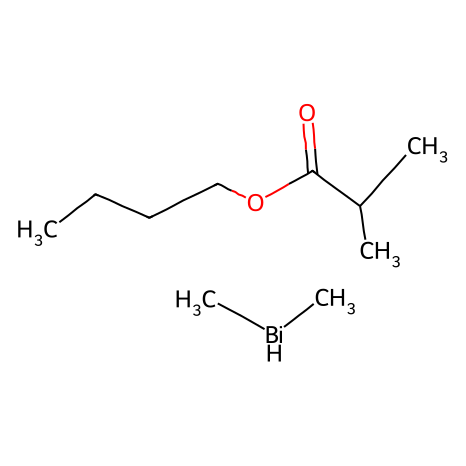 CCCCOC(=O)C(C)C.[CH3][BiH][CH3]